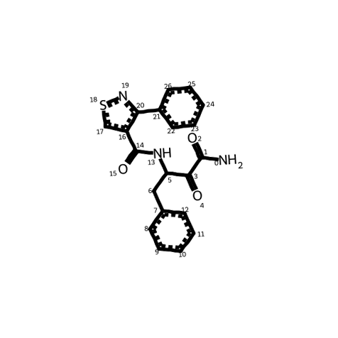 NC(=O)C(=O)C(Cc1ccccc1)NC(=O)c1csnc1-c1ccccc1